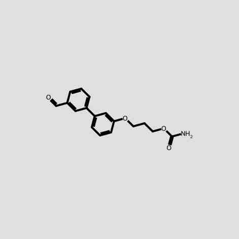 NC(=O)OCCCOc1cccc(-c2cccc(C=O)c2)c1